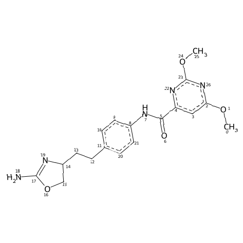 COc1cc(C(=O)Nc2ccc(CCC3COC(N)=N3)cc2)nc(OC)n1